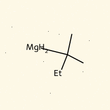 [CH2]CC(C)(C)C.[MgH2]